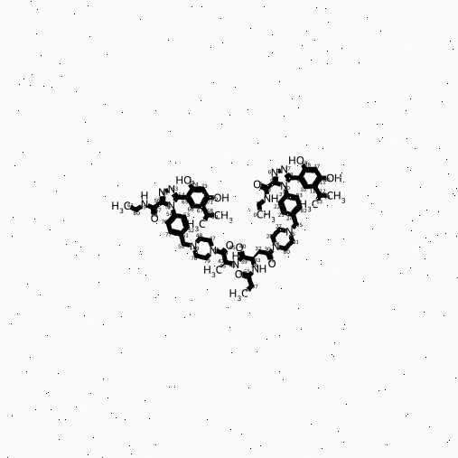 CCNC(=O)c1nnc(-c2cc(C(C)C)c(O)cc2O)n1-c1ccc(CN2CCN(C(=O)C[C@@H](NC(=O)CC)C(=O)N[C@H](C)C(=O)N3CCN(Cc4ccc(-n5c(C(=O)NCC)nnc5-c5cc(C(C)C)c(O)cc5O)cc4)CC3)CC2)cc1